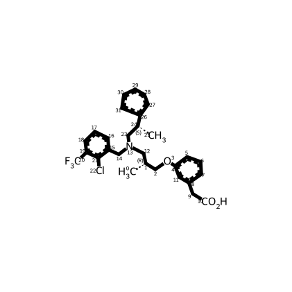 C[C@@H](COc1cccc(CC(=O)O)c1)CN(Cc1cccc(C(F)(F)F)c1Cl)C[C@@H](C)c1ccccc1